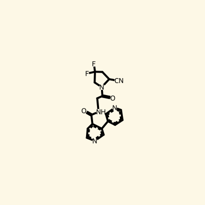 N#CC1CC(F)(F)CN1C(=O)CNC(=O)c1ccncc1-c1cccnc1